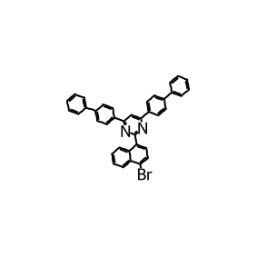 Brc1ccc(-c2nc(-c3ccc(-c4ccccc4)cc3)cc(-c3ccc(-c4ccccc4)cc3)n2)c2ccccc12